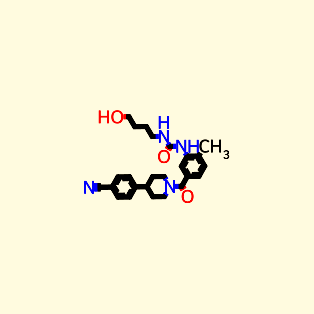 Cc1ccc(C(=O)N2CCC(c3ccc(C#N)cc3)CC2)cc1NC(=O)NCCCCO